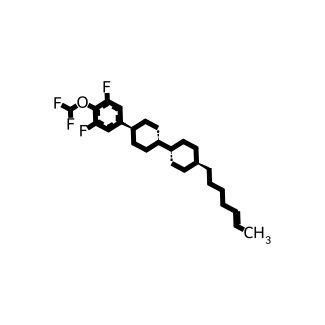 C/C=C/CCCC[C@H]1CC[C@H]([C@H]2CC[C@H](c3cc(F)c(OC(F)F)c(F)c3)CC2)CC1